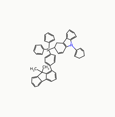 CC1(C)c2ccccc2-c2cccc(-c3ccc([Si](c4ccccc4)(c4ccccc4)C4C=Cc5c(c6ccccc6n5C5=CCCC=C5)C4)cc3)c21